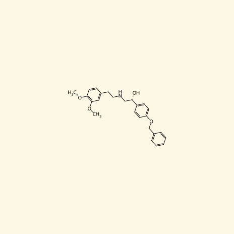 COc1ccc(CCNC[C@H](O)c2ccc(OCc3ccccc3)cc2)cc1OC